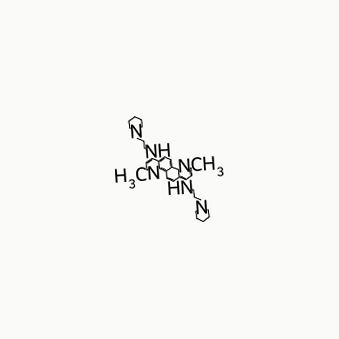 Cc1cc(NCCCN2CCCCC2)c2ccc3c(ccc4c(NCCCN5CCCCC5)cc(C)nc43)c2n1